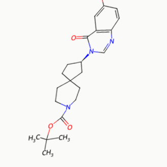 CC(C)(C)OC(=O)N1CCC2(CC[C@@H](n3cnc4ccc(O)cc4c3=O)C2)CC1